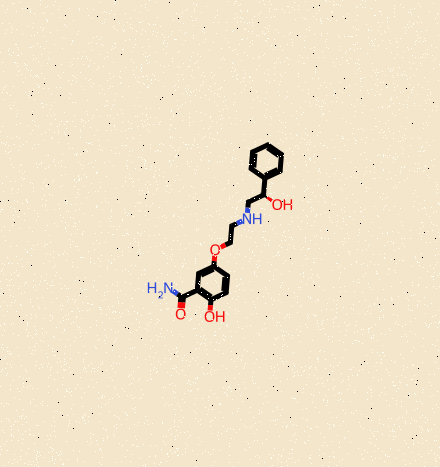 NC(=O)c1cc(OCCNC[C@H](O)c2ccccc2)ccc1O